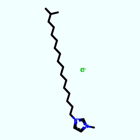 CC(C)CCCCCCCCCCCCCCC[n+]1ccn(C)c1.[Cl-]